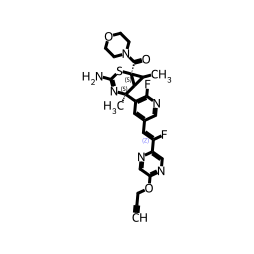 C#CCOc1cnc(/C(F)=C/c2cnc(F)c([C@@]3(C)N=C(N)S[C@@]4(C(=O)N5CCOCC5)C(C)C43)c2)cn1